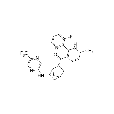 CC1C=CC(C(=O)N2CC3CC(Nc4cnc(C(F)(F)F)cn4)C2C3)=C(c2ncccc2F)N1